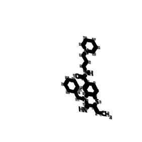 C/C=C1\Sc2ccc(C(=O)NCCCN3CCCCC3)cc2N(CC2CCCCC2)C1=N